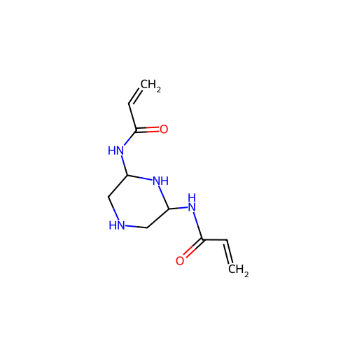 C=CC(=O)NC1CNCC(NC(=O)C=C)N1